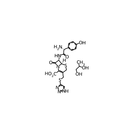 CC(O)CO.N[C@@H](C(=O)N[C@@H]1C(=O)N2C(C(=O)O)=C(CSc3c[nH]nn3)CS[C@H]12)c1ccc(O)cc1